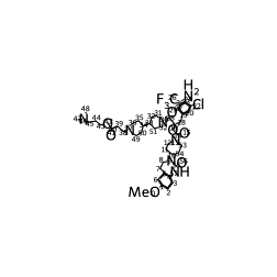 COc1ccc2c(c1)CCN(C1CCN(C(=O)O[C@H](Cc3cc(Cl)c(N)c(C(F)(F)F)c3)C(=O)N3CCC(C4CCN(CCC(=O)OCCCN(C)C)CC4)CC3)CC1)C(=O)N2